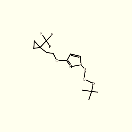 CC(C)(C)OOSn1ccc(OCCC2(C(F)(F)F)CC2)n1